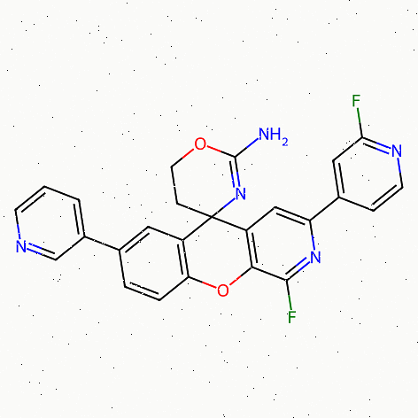 NC1=NC2(CCO1)c1cc(-c3cccnc3)ccc1Oc1c2cc(-c2ccnc(F)c2)nc1F